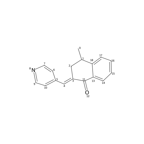 CC1CC(=Cc2ccncc2)C(=O)c2ccccc21